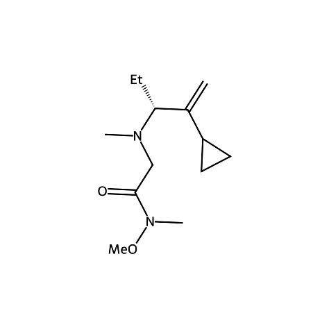 C=C(C1CC1)[C@@H](CC)N(C)CC(=O)N(C)OC